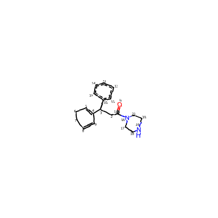 O=C(CC(C1=CCCC=C1)c1ccccc1)N1CCNCC1